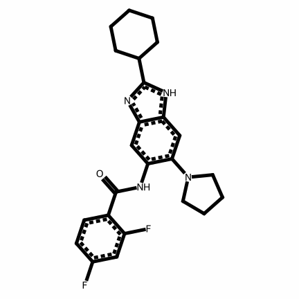 O=C(Nc1cc2nc(C3CCCCC3)[nH]c2cc1N1CCCC1)c1ccc(F)cc1F